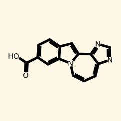 O=C(O)c1ccc2cc3c4ncnc-4cccn3c2c1